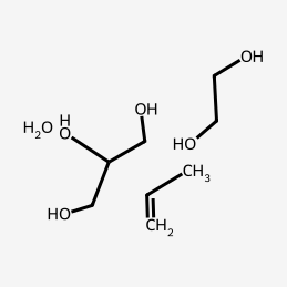 C=CC.O.OCC(O)CO.OCCO